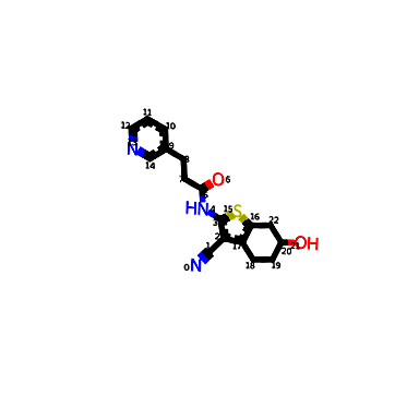 N#Cc1c(NC(=O)CCc2cccnc2)sc2c1CCC(O)C2